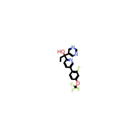 CCC(O)(c1cncnc1)c1ccc(-c2ccc(OC(F)(F)F)cc2F)cn1